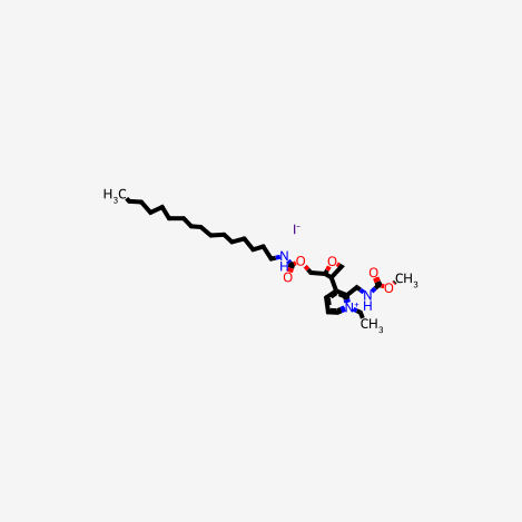 CCCCCCCCCCCCCCCCNC(=O)OCC1OCC1c1ccc[n+](CC)c1CNC(=O)OC.[I-]